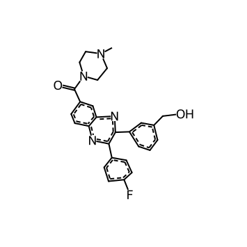 CN1CCN(C(=O)c2ccc3nc(-c4ccc(F)cc4)c(-c4cccc(CO)c4)nc3c2)CC1